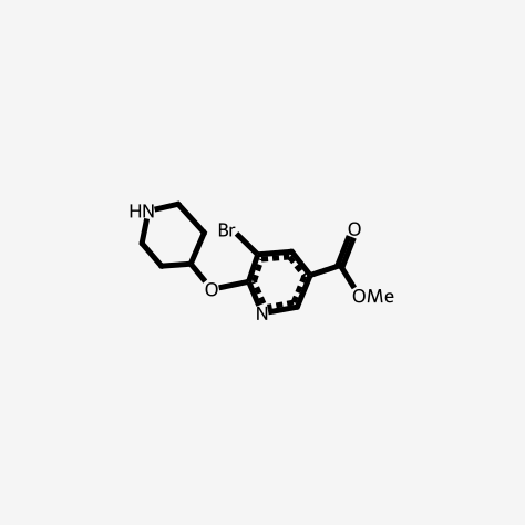 COC(=O)c1cnc(OC2CCNCC2)c(Br)c1